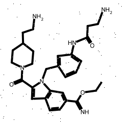 CCOC(=N)c1ccc2cc(C(=O)N3CCC(CCN)CC3)n(Cc3cccc(NC(=O)CCN)c3)c2c1